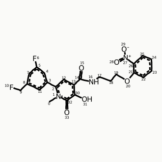 Cn1c(-c2cc(F)cc(CF)c2)cc(C(=O)NCCCOc2ccccc2[N+](=O)[O-])c(O)c1=O